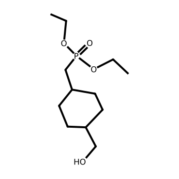 CCOP(=O)(CC1CCC(CO)CC1)OCC